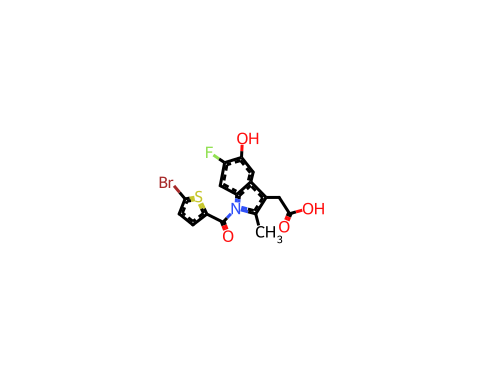 Cc1c(CC(=O)O)c2cc(O)c(F)cc2n1C(=O)c1ccc(Br)s1